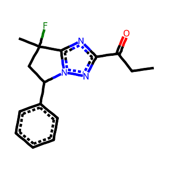 CCC(=O)c1nc2n(n1)C(c1ccccc1)CC2(C)F